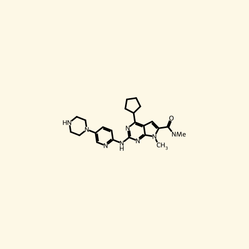 CNC(=O)c1cc2c(C3CCCC3)nc(Nc3ccc(N4CCNCC4)cn3)nc2n1C